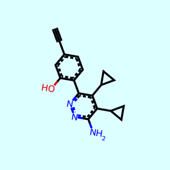 C#Cc1ccc(-c2nnc(N)c(C3CC3)c2C2CC2)c(O)c1